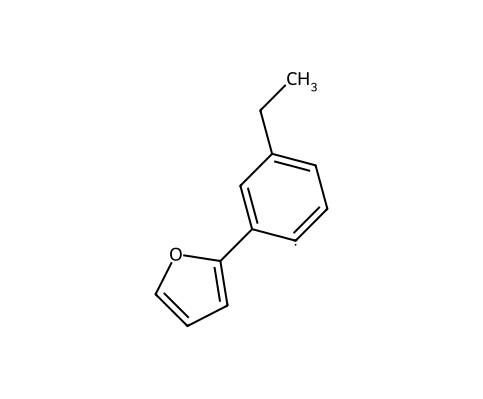 CCc1cc[c]c(-c2ccco2)c1